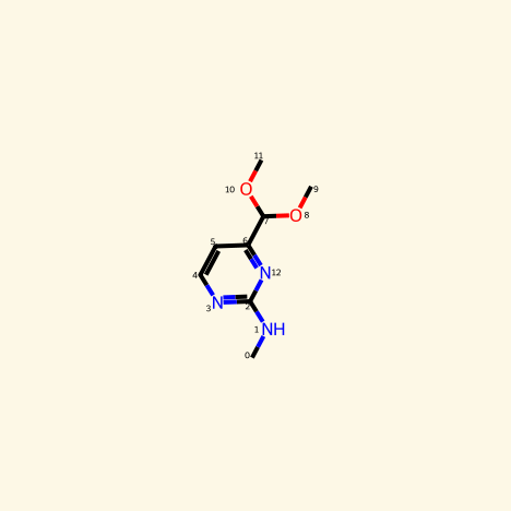 CNc1nccc(C(OC)OC)n1